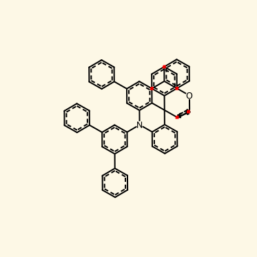 c1ccc(-c2cc(-c3ccccc3)cc(N3c4ccccc4C4(c5ccccc5Oc5ccccc54)c4c(-c5ccccc5)cc(-c5ccccc5)cc43)c2)cc1